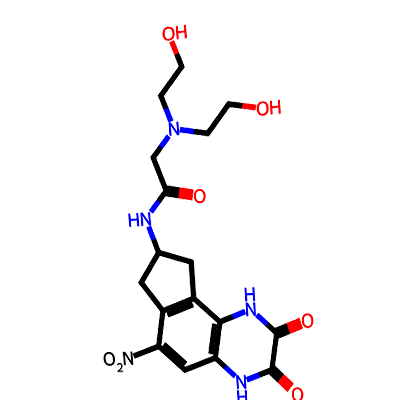 O=C(CN(CCO)CCO)NC1Cc2c([N+](=O)[O-])cc3[nH]c(=O)c(=O)[nH]c3c2C1